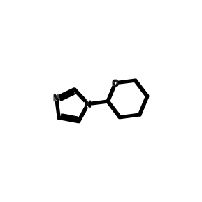 c1cn(C2CCCCO2)cn1